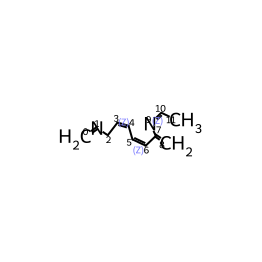 C=NC/C=C\C=C/C(=C)/N=C\C